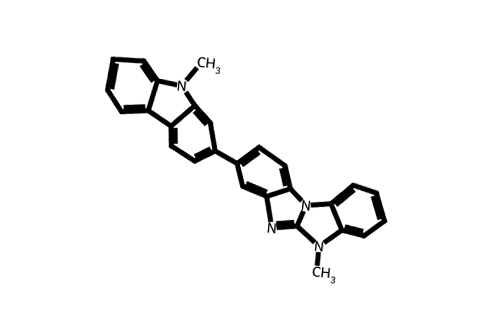 Cn1c2ccccc2c2ccc(-c3ccc4c(c3)nc3n(C)c5ccccc5n43)cc21